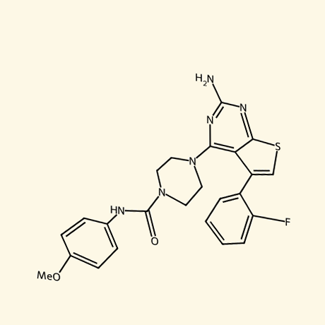 COc1ccc(NC(=O)N2CCN(c3nc(N)nc4scc(-c5ccccc5F)c34)CC2)cc1